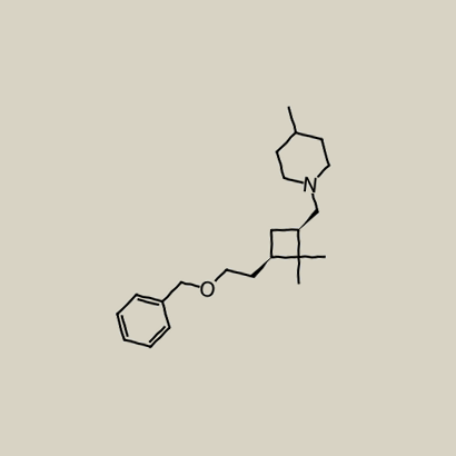 CC1CCN(C[C@@H]2C[C@H](CCOCc3ccccc3)C2(C)C)CC1